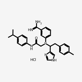 Cc1ccc(CC(c2c[nH]cn2)N(CC(=O)Nc2ccc(C(C)C)cc2)c2cccc(C(=N)N)c2)cc1.Cl